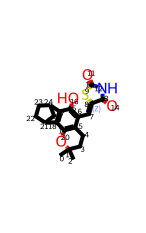 CC1(C)CCc2c(/C=C3\SC(=O)NC3=O)c(O)c3c(c2O1)C1CCC3C1